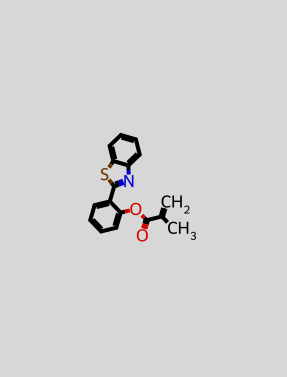 C=C(C)C(=O)Oc1ccccc1-c1nc2ccccc2s1